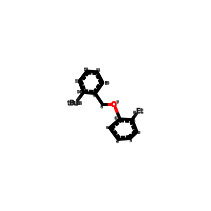 CCc1ccccc1OCc1ccccc1C(C)(C)C